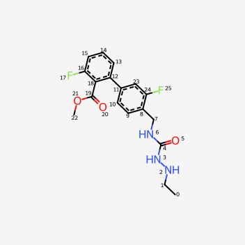 CCNNC(=O)NCc1ccc(-c2cccc(F)c2C(=O)OC)cc1F